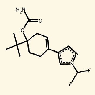 CC(C)(C)C1(OC(N)=O)CC=C(c2cnn(C(F)F)c2)CC1